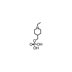 CCN1CCC(COP(=O)(O)O)CC1